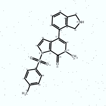 Cc1ccc(S(=O)(=O)n2ccc3c(-c4cccc5c4CNC5)cn(C)c(=O)c32)cc1